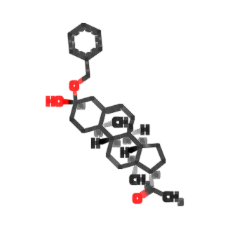 CC(=O)[C@H]1CC[C@H]2[C@@H]3CC=C4C[C@@](O)(OCc5ccccc5)CC[C@]4(C)[C@H]3CC[C@]12C